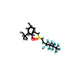 Cc1cc(CSCCC(F)(F)C(F)(F)C(F)(F)C(F)(F)F)c(O)c(C(C)(C)C)c1